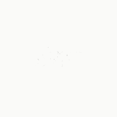 O=C(O)c1cnc(NC(c2ccccc2)C2CC2)c(F)c1